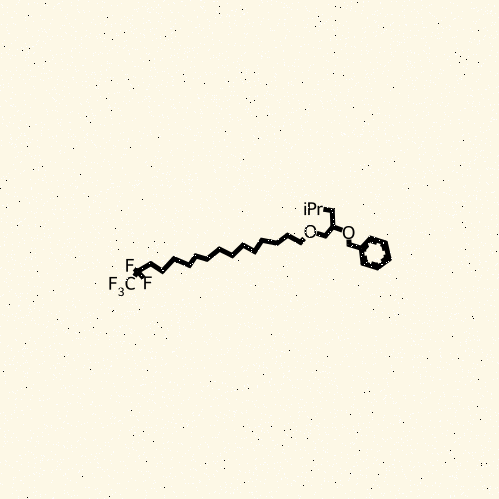 CC(C)CC(COCCCCCCCCCCCCCCC(F)(F)C(F)(F)F)OCc1ccccc1